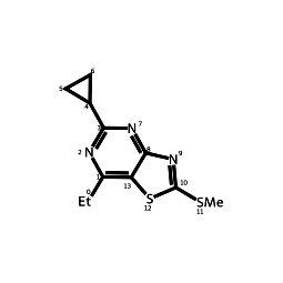 CCc1nc(C2CC2)nc2nc(SC)sc12